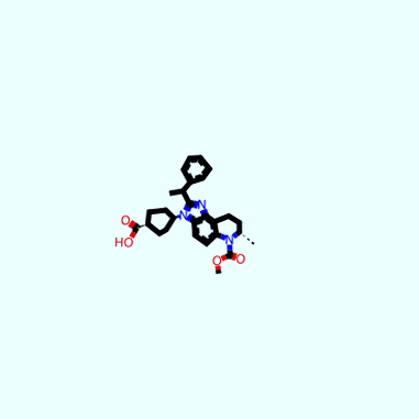 COC(=O)N1c2ccc3c(nc(C(C)c4ccccc4)n3[C@H]3CC[C@H](C(=O)O)CC3)c2CC[C@@H]1C